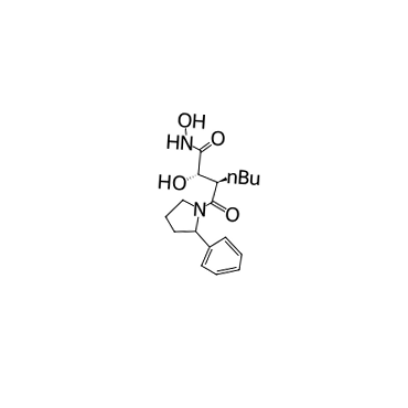 CCCC[C@@H](C(=O)N1CCCC1c1ccccc1)[C@H](O)C(=O)NO